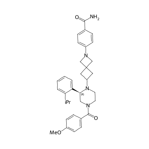 COc1ccc(C(=O)N2CCN(C3CC4(C3)CN(c3ccc(C(N)=O)cc3)C4)[C@H](c3ccccc3C(C)C)C2)cc1